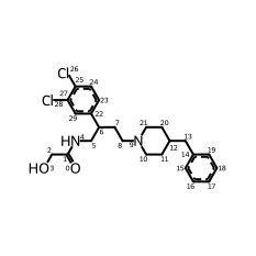 O=C(CO)NCC(CCN1CCC(Cc2ccccc2)CC1)c1ccc(Cl)c(Cl)c1